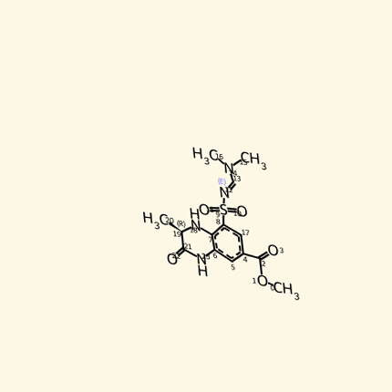 COC(=O)c1cc2c(c(S(=O)(=O)/N=C/N(C)C)c1)N[C@H](C)C(=O)N2